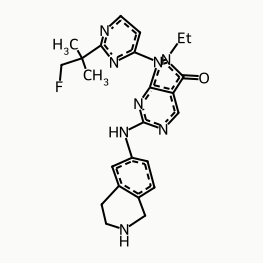 CCn1c(=O)c2cnc(Nc3ccc4c(c3)CCNC4)nc2n1-c1ccnc(C(C)(C)CF)n1